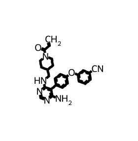 C=CC(=O)N1CCC(CNc2ncnc(N)c2-c2ccc(Oc3cccc(C#N)c3)cc2)CC1